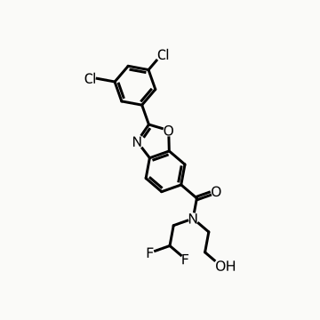 O=C(c1ccc2nc(-c3cc(Cl)cc(Cl)c3)oc2c1)N(CCO)CC(F)F